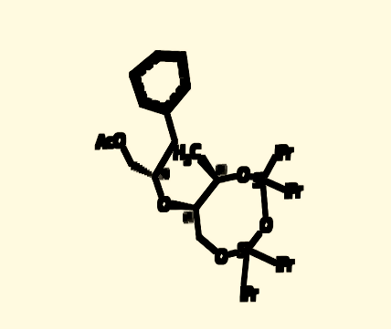 CC(=O)OC[C@H](Cc1ccccc1)O[C@@H]1CO[Si](C(C)C)(C(C)C)O[Si](C(C)C)(C(C)C)O[C@@H]1C